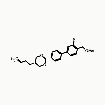 C=CCC[C@H]1CO[C@H](c2ccc(-c3ccc(COC)c(F)c3)cc2)OC1